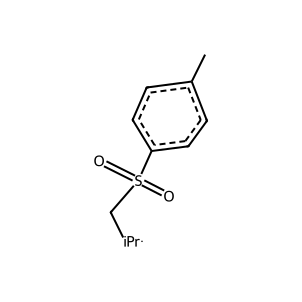 C[C](C)CS(=O)(=O)c1ccc(C)cc1